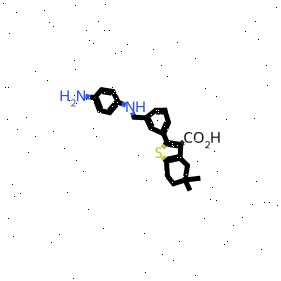 CC1(C)CCc2sc(-c3cccc(CNc4ccc(N)cc4)c3)c(C(=O)O)c2C1